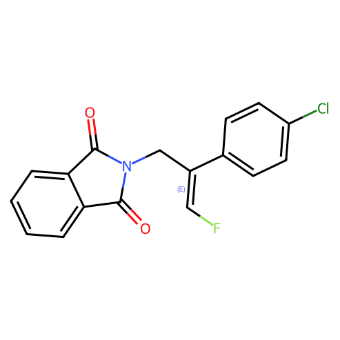 O=C1c2ccccc2C(=O)N1C/C(=C/F)c1ccc(Cl)cc1